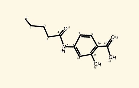 CCCCC(=O)Nc1ccc(C(=O)O)c(O)c1